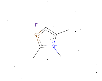 Cc1csc(C)[n+]1C.[I-]